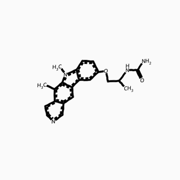 Cc1c2ccncc2cc2c3cc(OCC(C)NC(N)=O)ccc3n(C)c12